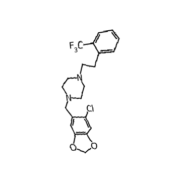 FC(F)(F)c1ccccc1CCN1CCN(Cc2cc3c(cc2Cl)OCO3)CC1